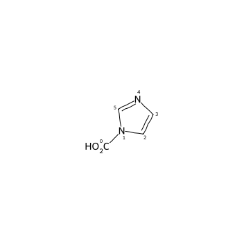 O=C(O)n1ccnc1